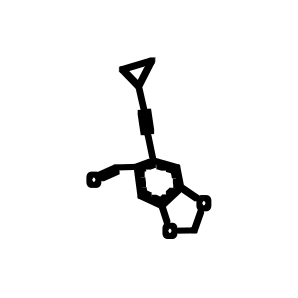 O=Cc1cc2c(cc1C#CC1CC1)OCO2